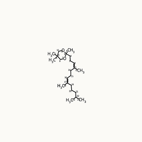 CC(=CCCC1(C)OCC(C)(C)CO1)CCC=C(C)CCCC(C)C